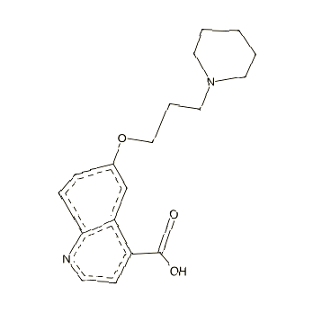 O=C(O)c1ccnc2ccc(OCCCN3CCCCC3)cc12